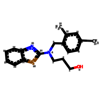 OCCCN(Cc1ccc(C(F)(F)F)cc1C(F)(F)F)c1nc2ccccc2s1